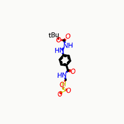 CC(C)(C)OC(=O)NNc1ccc(C(=O)NCO[SH](=O)=O)cc1